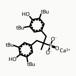 CC(C)(C)c1cc(CC(C)(Cc2cc(C(C)(C)C)c(O)c(C(C)(C)C)c2)P(=O)([O-])[O-])cc(C(C)(C)C)c1O.[Ca+2]